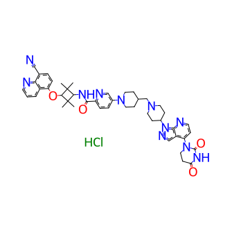 CC1(C)C(NC(=O)c2ccc(N3CCC(CN4CCC(n5ncc6c(N7CCC(=O)NC7=O)ccnc65)CC4)CC3)cn2)C(C)(C)C1Oc1ccc(C#N)c2ncccc12.Cl